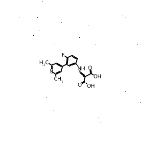 Cc1cc(-c2cc(NC=C(C(=O)O)C(=O)O)ccc2F)cc(C)n1